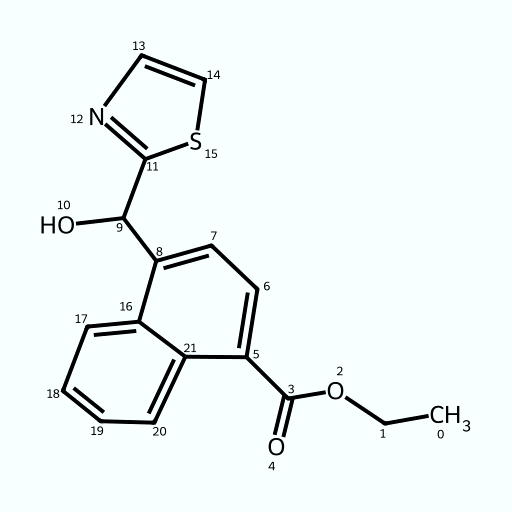 CCOC(=O)c1ccc(C(O)c2nccs2)c2ccccc12